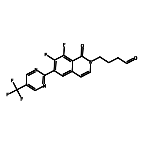 O=CCCCn1ccc2cc(-c3ncc(C(F)(F)F)cn3)c(F)c(F)c2c1=O